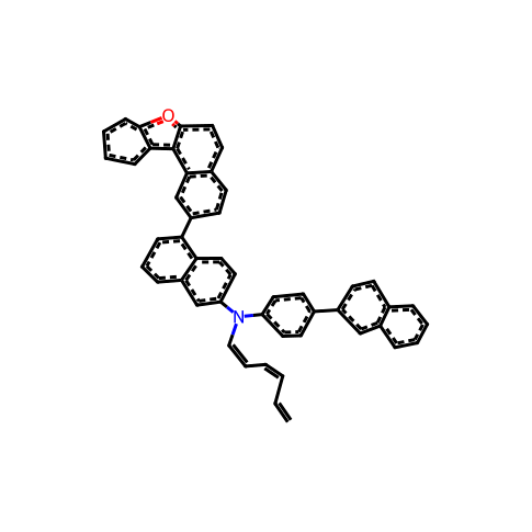 C=C/C=C\C=C/N(c1ccc(-c2ccc3ccccc3c2)cc1)c1ccc2c(-c3ccc4ccc5oc6ccccc6c5c4c3)cccc2c1